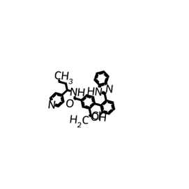 C=C(O)c1cc(C(=O)NC(CCC)c2ccncc2)ccc1-c1c(Cl)cccc1-c1nc2ccccc2[nH]1